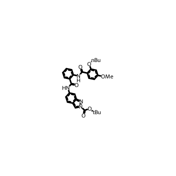 CCCCOc1cc(OC)ccc1C(=O)Nc1ccccc1C(=O)Nc1ccc2cn(C(=O)OC(C)(C)C)nc2c1